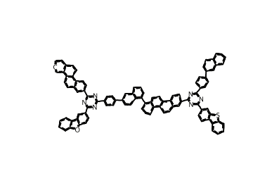 c1ccc2cc(-c3ccc(-c4nc(-c5ccc6c(ccc7c8cccc(-c9cccc%10cc(-c%11ccc(-c%12nc(-c%13ccc%14c(ccc%15c%16ccccc%16ccc%14%15)c%13)nc(-c%13ccc%14oc%15ccccc%15c%14c%13)n%12)cc%11)ccc9%10)c8ccc67)c5)nc(-c5ccc6c(c5)sc5ccccc56)n4)cc3)ccc2c1